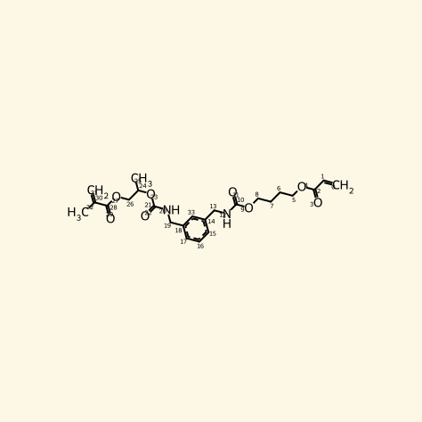 C=CC(=O)OCCCCOC(=O)NCc1cccc(CNC(=O)OC(C)COC(=O)C(=C)C)c1